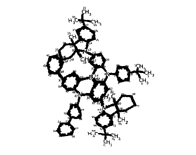 CC(C)(C)c1ccc(N2c3ccc(N4c5ccc(C(C)(C)C)cc5C5(C)CCCCC45C)cc3B3c4cc(-c5ccccc5)ccc4N(c4ccc(-c5ccccc5)cc4)c4cc(N5c6ccc(C(C)(C)C)cc6C6(C)CCCCC56C)cc2c43)cc1